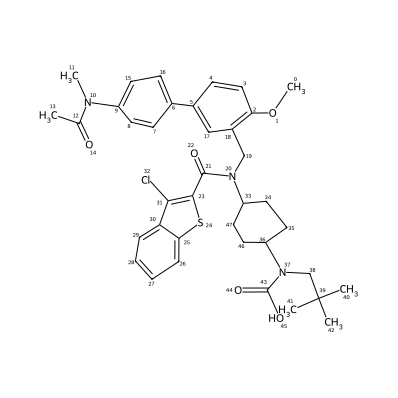 COc1ccc(-c2ccc(N(C)C(C)=O)cc2)cc1CN(C(=O)c1sc2ccccc2c1Cl)C1CCC(N(CC(C)(C)C)C(=O)O)CC1